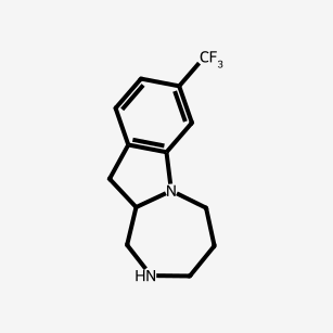 FC(F)(F)c1ccc2c(c1)N1CCCNCC1C2